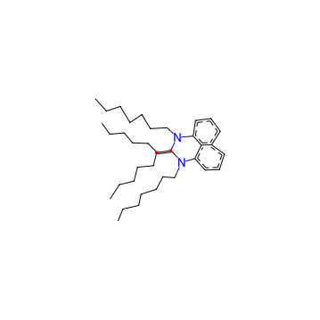 CCCCCCCN(CCCCCCC)c1cccc2cccc(N(CCCCCCC)CCCCCCC)c12